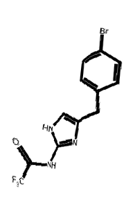 O=C(Nc1nc(Cc2ccc(Br)cc2)c[nH]1)C(F)(F)F